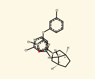 CCn1nc(N[C@@H]2[C@@H]3CC[C@H]2CN(c2ccnc(Cl)c2)C3)nc1Oc1cccc(Cl)c1